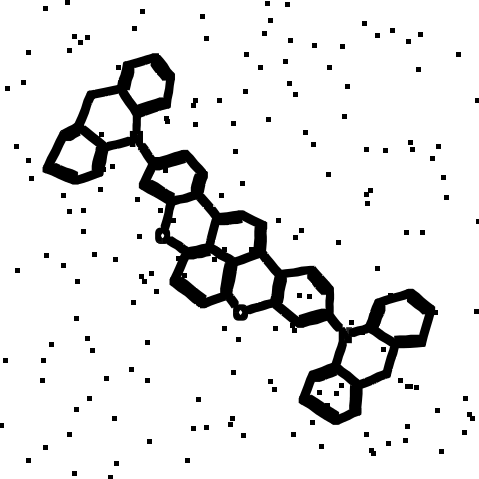 c1ccc2c(c1)Cc1ccccc1N2c1ccc2c(c1)Oc1ccc3c4c(ccc-2c14)-c1ccc(N2c4ccccc4Cc4ccccc42)cc1O3